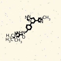 Cn1cc(-c2cc(-c3ccc(CNC(=O)c4cn(C(C)(C)C)nn4)cc3)n3cnnc3c2)cn1